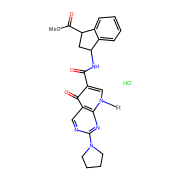 CCn1cc(C(=O)NC2CC(C(=O)OC)c3ccccc32)c(=O)c2cnc(N3CCCC3)nc21.Cl